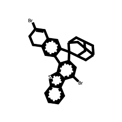 BrC1=Cc2cc3c(cc2CC1)-c1c(cc(Br)c2c1sc1ccccc12)C31C2CC3CC(C2)CC1C3